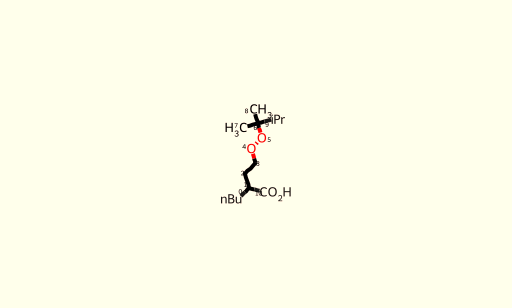 CCCCC(CCOOC(C)(C)C(C)C)C(=O)O